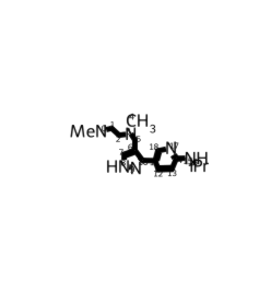 CNCCN(C)Cc1c[nH]nc1-c1ccc(NC(C)C)nc1